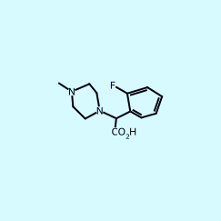 CN1CCN(C(C(=O)O)c2ccccc2F)CC1